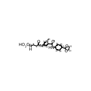 Cn1cc(NC(=O)CCNC(=O)O)cc1C(=O)Nc1ccc(C2OCCO2)cc1